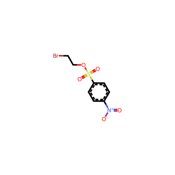 O=[N+]([O-])c1ccc(S(=O)(=O)OCCBr)cc1